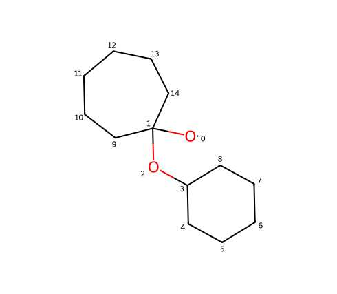 [O]C1(OC2CCCCC2)CCCCCC1